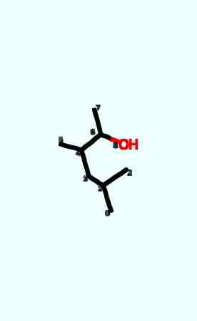 CC(C)CC(C)C(C)O